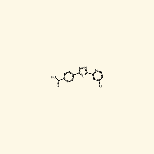 O=C(O)c1ccc(-c2nnc(-c3cc(Cl)ccn3)o2)cc1